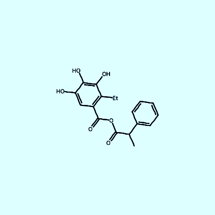 CCc1c(C(=O)OC(=O)C(C)c2ccccc2)cc(O)c(O)c1O